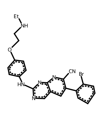 CCNCCOc1ccc(Nc2ncc3cc(-c4ccccc4Br)c(C#N)nc3n2)cc1